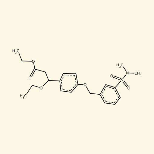 CCOC(=O)CC(OCC)c1ccc(OCc2cccc(S(=O)(=O)N(C)C)c2)cc1